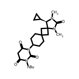 CCCCN1C(=O)CC(=O)N(C2CCC3(CC2)CC2(C3)[C@@H](C3CC3)N(C)C(=O)N2C)C1=O